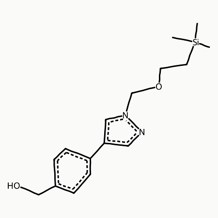 C[Si](C)(C)CCOCn1cc(-c2ccc(CO)cc2)cn1